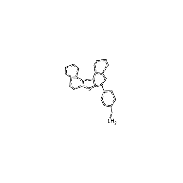 C=Cc1ccc(-c2cc3ccccc3c3c2sc2ccc4ccccc4c23)cc1